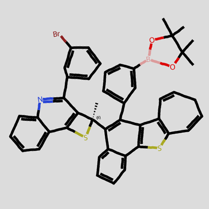 CC1(C)OB(c2cccc(-c3c([C@@]4(C)Sc5c4c(-c4cccc(Br)c4)nc4ccccc54)c4ccccc4c4sc5c(c34)C=CCC=C5)c2)OC1(C)C